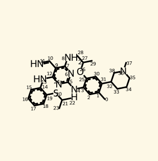 Cc1cc(Nc2nc(N)c(C=N)c(Nc3ccccc3SC(C)C)n2)c(OC(C)C)cc1C1CCCN(C)C1